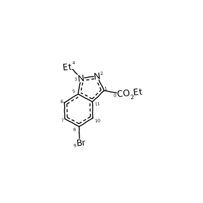 CCOC(=O)c1nn(CC)c2ccc(Br)cc12